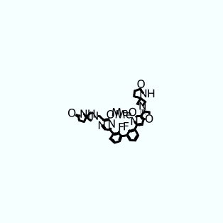 COc1nc(-c2cccc(-c3cccc(-c4cc5c(c(OC)n4)[C@@H](N4CC6(CCC(=O)N6)C4)CO5)c3F)c2F)cnc1CN1CC2(CCC(=O)N2)C1